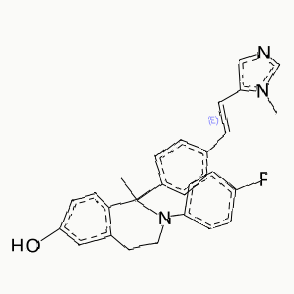 Cn1cncc1/C=C/c1ccc(C2(C)c3ccc(O)cc3CCN2c2ccc(F)cc2)cc1